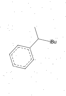 CCC(C)C(C)c1[c]cccc1